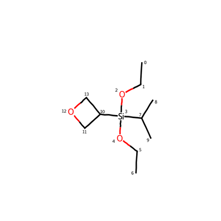 CCO[Si](OCC)(C(C)C)C1COC1